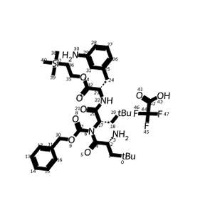 CC(C)(C)C[C@@H](N)C(=O)N(C(=O)OCc1ccccc1)[C@@H](CC(C)(C)C)C(=O)N[C@@H](Cc1cccc(N)c1)C(=O)OCC[Si](C)(C)C.O=C(O)C(F)(F)F